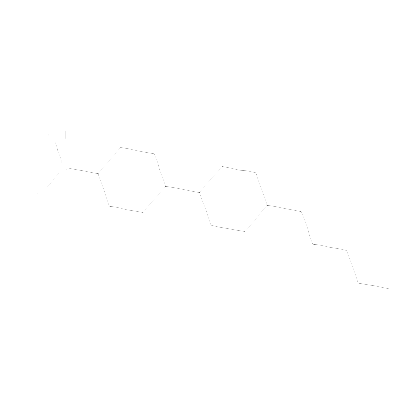 CCCCCC1CCC(C2CCC(B(O)O)CC2)CC1